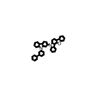 c1ccc(-c2cccc(-n3c4ccccc4c4ccc(-n5c6ccccc6c6c7oc8ccccc8c7ccc65)cc43)c2)cc1